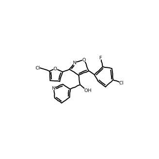 OC(c1cccnc1)c1c(-c2ccc(Cl)o2)noc1-c1ccc(Cl)cc1F